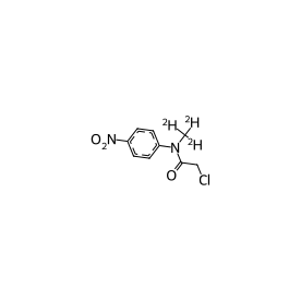 [2H]C([2H])([2H])N(C(=O)CCl)c1ccc([N+](=O)[O-])cc1